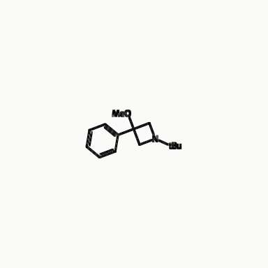 COC1(c2ccccc2)CN(C(C)(C)C)C1